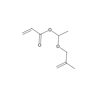 C=CC(=O)OC(C)OCC(=C)C